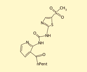 CCCCCC(=O)c1cccnc1NC(=O)Nc1ncc(S(C)(=O)=O)s1